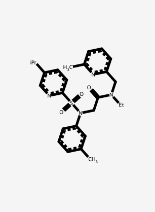 CCN(Cc1cccc(C)n1)C(=O)CN(c1cccc(C)c1)S(=O)(=O)c1ccc(C(C)C)cn1